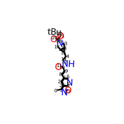 Cc1noc2ncc(/C=C/C(=O)NCCC3C4CN(C(=O)OC(C)(C)C)CC34)cc12